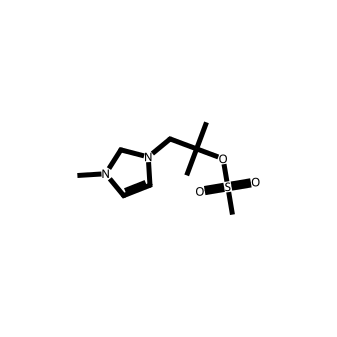 CN1C=CN(CC(C)(C)OS(C)(=O)=O)C1